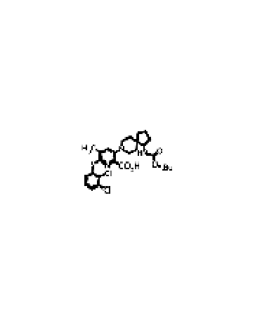 Cc1cc(N2CCC3(CCC[C@H]3NC(=O)OC(C)(C)C)CC2)c(C(=O)O)nc1Sc1cccc(Cl)c1Cl